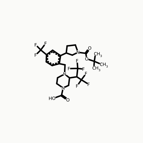 CC(C)(C)OC(=O)N1CCC(c2cc(C(F)(F)F)ccc2CN2CCN(C(=O)O)CC2C(C(F)(F)F)C(F)(F)F)C1